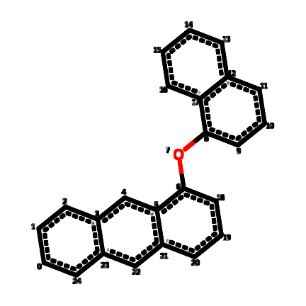 c1ccc2cc3c(Oc4cccc5ccccc45)cccc3cc2c1